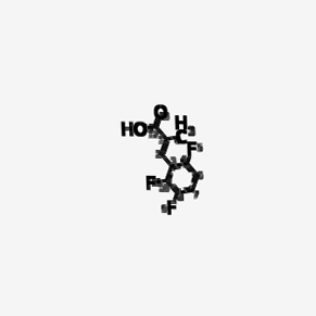 CC(=Cc1c(F)ccc(F)c1F)C(=O)O